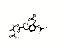 CCC(=O)Oc1ccc(C[C@H](N)C(=O)O[C@@H](C)C(C)OC(=O)C(C)(C)C)cc1OC(=O)CC